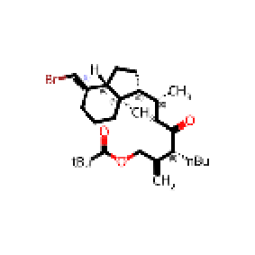 C=C(COC(=O)C(C)(C)C)[C@@H](CCCC)C(=O)C[C@@H](C)[C@H]1CC[C@H]2/C(=C/Br)CCC[C@]12C